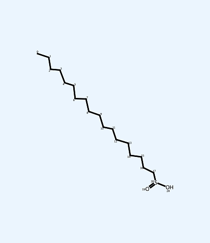 CCCCCCCCCCCCCCCCCCS(=O)O